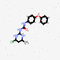 CC1CC(Cl)NC(NC(=O)Nc2ccc(Oc3ccccc3)cc2)N1